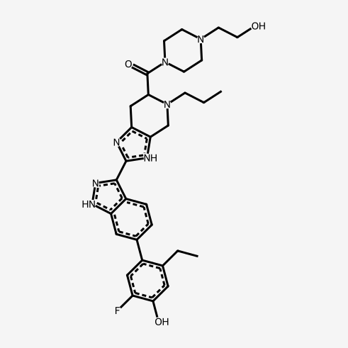 CCCN1Cc2[nH]c(-c3n[nH]c4cc(-c5cc(F)c(O)cc5CC)ccc34)nc2CC1C(=O)N1CCN(CCO)CC1